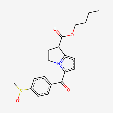 CCCCOC(=O)C1CCn2c(C(=O)c3ccc([S+](C)[O-])cc3)ccc21